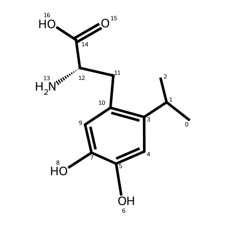 CC(C)c1cc(O)c(O)cc1C[C@H](N)C(=O)O